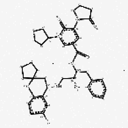 O=C(N[C@@H](Cc1ccccc1)[C@H](O)CN[C@H]1CC2(CCCC2)Oc2ccc(F)cc21)c1cc(N2CCCC2=O)c(=O)n(C2CCCC2)c1